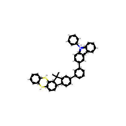 CC1(C)c2cc(-c3cccc(-c4ccc5c(c4)c4ccccc4n5-c4ccccc4)c3)ccc2-c2ccc3c(c21)Sc1ccccc1S3